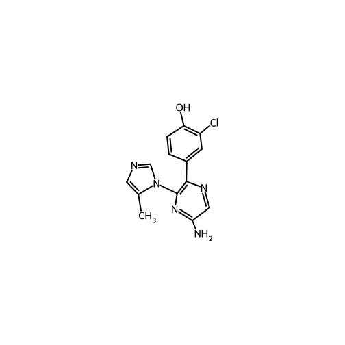 Cc1cncn1-c1nc(N)cnc1-c1ccc(O)c(Cl)c1